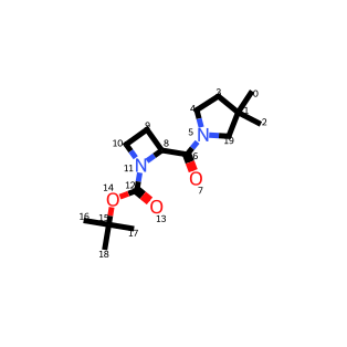 CC1(C)CCN(C(=O)C2CCN2C(=O)OC(C)(C)C)C1